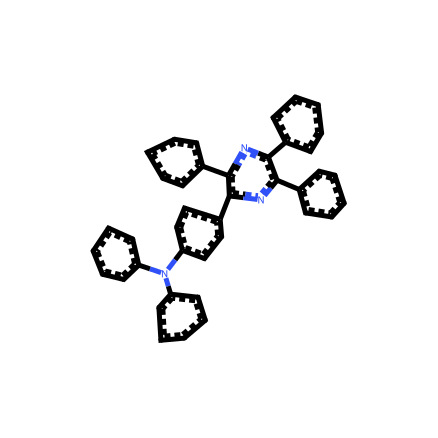 c1ccc(-c2nc(-c3ccccc3)c(-c3ccc(N(c4ccccc4)c4ccccc4)cc3)nc2-c2ccccc2)cc1